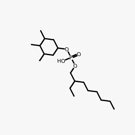 CCCCCCC(CC)COP(=O)(O)OC1CC(C)C(C)C(C)C1